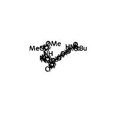 COc1ccc(CNc2cnnc3cc(-c4cc(Cl)ccc4OCCOCCOCCOCCNC(=O)OC(C)(C)C)ccc23)c(OC)c1